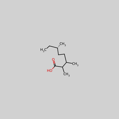 CC[C@H](C)CCC(C)C(C)C(=O)O